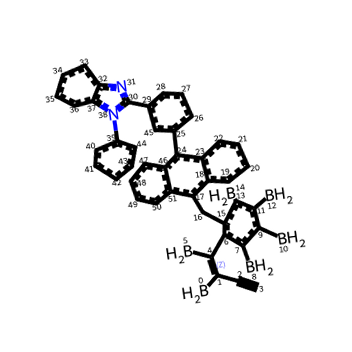 B/C(C#C)=C(\B)c1c(B)c(B)c(B)c(B)c1Cc1c2ccccc2c(-c2cccc(-c3nc4ccccc4n3-c3ccccc3)c2)c2ccccc12